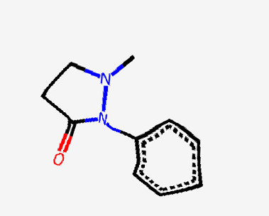 CN1CCC(=O)N1c1ccccc1